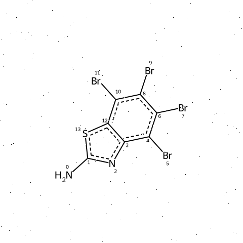 Nc1nc2c(Br)c(Br)c(Br)c(Br)c2s1